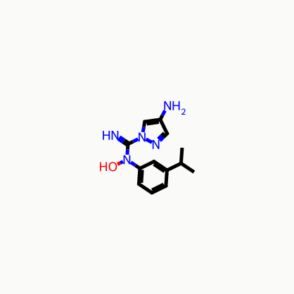 CC(C)c1cccc(N(O)C(=N)n2cc(N)cn2)c1